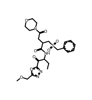 CCC(NC(=O)C(CC(=O)N1CCOCC1)CS(=O)(=O)Cc1ccccc1)C(=O)c1nnc(COC)o1